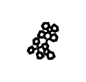 c1ccc(C2(c3ccccc3)c3ccccc3N(c3cc([Si](c4ccccc4)(c4ccccc4)c4ccccc4)c4oc5ccccc5c4c3)c3ccccc32)cc1